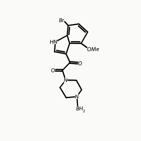 BN1CCN(C(=O)C(=O)c2c[nH]c3c(Br)ccc(OC)c23)CC1